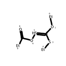 CCOC(SCC)=[SH]OC(=O)CC